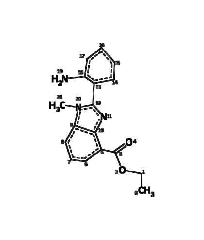 CCOC(=O)c1cccc2c1nc(-c1ccccc1N)n2C